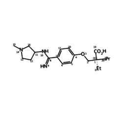 CC[C@](COc1ccc(C(=N)NC2CCN(C)C2)cc1)(C(=O)O)C(C)C